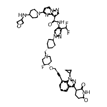 O=C1CCC(c2nn(C3CC3)c3c(C#CCO[C@H]4CCN(C[C@H]5CC[C@H](n6cc(NC(=O)c7cnn8ccc(N9CCC(NC%10COC%10)CC9)nc78)c(C(F)F)n6)CC5)C[C@H]4F)cccc23)C(=O)N1